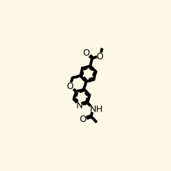 COC(=O)c1ccc2c(c1)COc1cnc(NC(C)=O)cc1-2